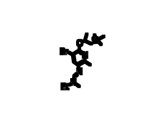 CCN(C)/C=N/c1cc(Br)c(OC(C)C[Si](C)(C)C)nc1C